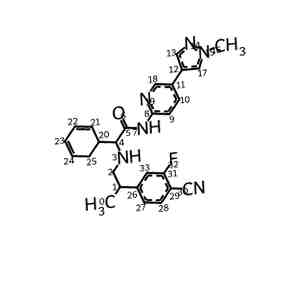 CC(CNC(C(=O)Nc1ccc(-c2cnn(C)c2)cn1)C1C=CC=CC1)c1ccc(C#N)c(F)c1